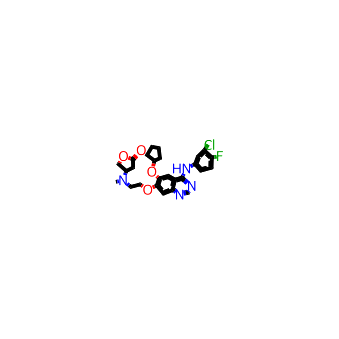 CN(CCOc1cc2ncnc(Nc3ccc(F)c(Cl)c3)c2cc1OC1CCCC1)C1COC(=O)C1